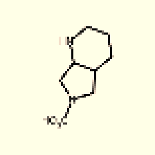 O=C(O)N1CC2CCCNC2C1